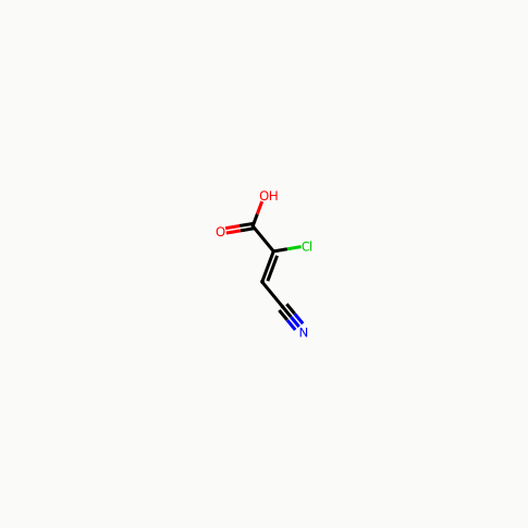 N#CC=C(Cl)C(=O)O